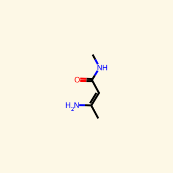 CNC(=O)C=C(C)N